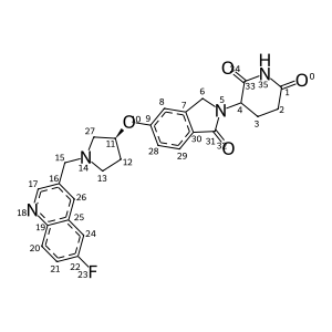 O=C1CCC(N2Cc3cc(O[C@H]4CCN(Cc5cnc6ccc(F)cc6c5)C4)ccc3C2=O)C(=O)N1